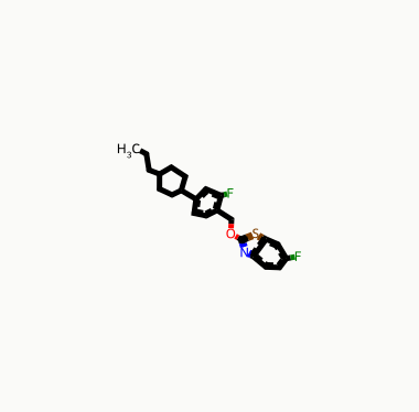 CCCC1CCC(c2ccc(COc3nc4ccc(F)cc4s3)c(F)c2)CC1